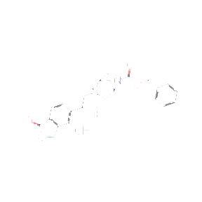 Cc1c(C(O)CN2CC3CC2CN3C(=O)OCc2ccccc2)ccc2c1COC2=O